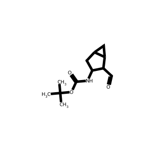 CC(C)(C)OC(=O)NC1CC2CC2C1C=O